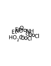 CC(C)(Oc1ccc(Cl)cc1)C(=O)O.CCN(CC)CCOC(=O)c1ccc(NC(=O)COc2ccc(Cl)cc2)cc1